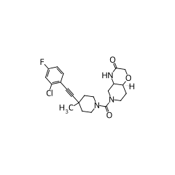 CC1(C#Cc2ccc(F)cc2Cl)CCN(C(=O)N2CC[C@@H]3OCC(=O)NC3C2)CC1